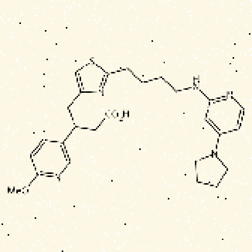 COc1ccc(C(CC(=O)O)Cc2csc(CCCCNc3cc(N4CCCC4)ccn3)n2)cn1